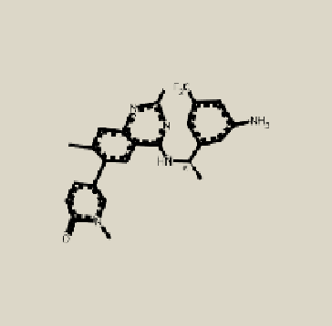 Cc1nc(N[C@H](C)c2cc(N)cc(C(F)(F)F)c2)c2cc(-c3ccc(=O)n(C)c3)c(C)cc2n1